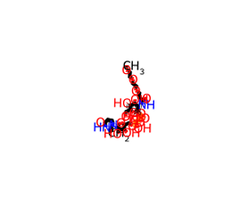 C=C1NC(=O)C=CN1C1OC(COP(=O)(O)OP(=O)(O)O[C@H]2OC(CO)[C@H](O)C(O)[C@@H]2NC(=O)CCOCCOCCOC)C(O)C1O